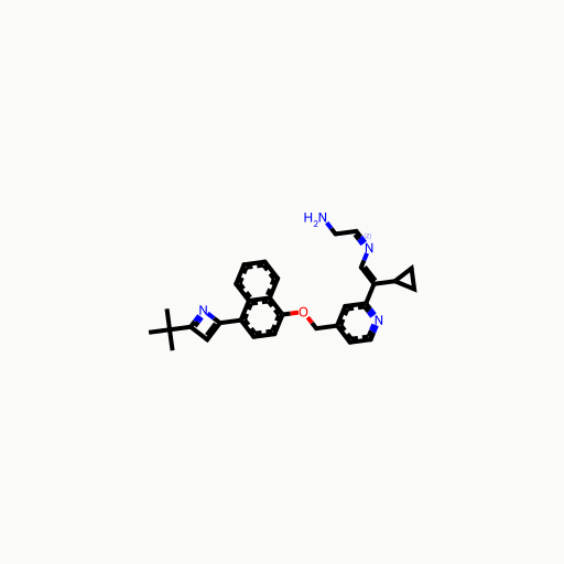 CC(C)(C)C1=NC(c2ccc(OCc3ccnc(C(=C/N=C\CN)C4CC4)c3)c3ccccc23)=C1